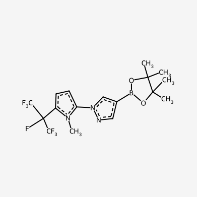 Cn1c(-n2cc(B3OC(C)(C)C(C)(C)O3)cn2)ccc1C(F)(C(F)(F)F)C(F)(F)F